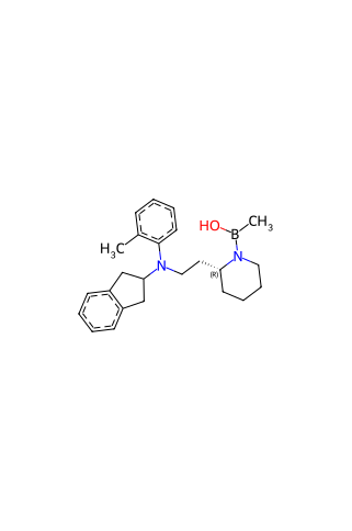 CB(O)N1CCCC[C@@H]1CCN(c1ccccc1C)C1Cc2ccccc2C1